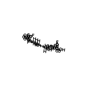 N=C(NCCCCCCNC(=N)NC(=N)NC1CCN(c2nc3c(cc2F)c(=O)c(C(=O)O)cn3-c2ccc(F)cc2F)C1)NC(=N)NC1CCN(c2nc3c(cc2F)c(=O)c(C(=O)O)cn3-c2ccc(F)cc2F)C1